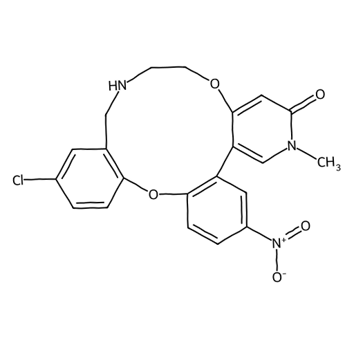 Cn1cc2c(cc1=O)OCCNCc1cc(Cl)ccc1Oc1ccc([N+](=O)[O-])cc1-2